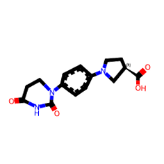 O=C1CCN(c2ccc(N3CC[C@@H](C(=O)O)C3)cc2)C(=O)N1